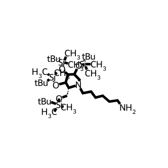 CC(C)(C)[Si](C)(C)OC[C@@H]1C(O[Si](C)(C)C(C)(C)C)C(O[Si](C)(C)C(C)(C)C)C(O[Si](C)(C)C(C)(C)C)CN1CCCCCCN